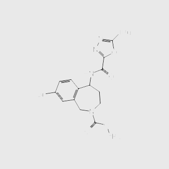 CC(C)(C)OC(=O)N1CCC(NC(=O)c2nnc(C(C)(C)C)o2)c2ccc(Br)cc2C1